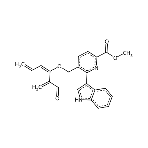 C=C/C=C(/OCc1ccc(C(=O)OC)nc1-c1c[nH]c2ccccc12)C(=C)C=O